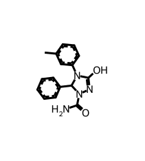 Cc1cccc(N2C(O)=NN(C(N)=O)C2c2ccccc2)c1